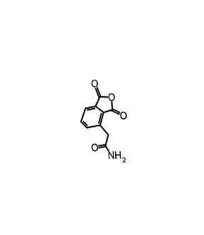 NC(=O)Cc1cccc2c1C(=O)OC2=O